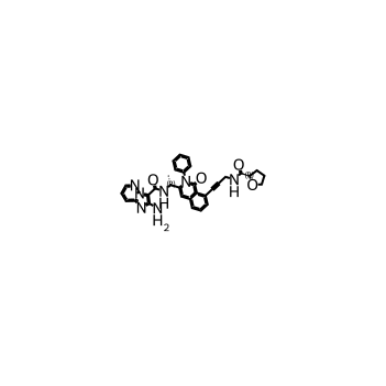 C[C@@H](NC(=O)c1c(N)nc2cccnn12)c1cc2cccc(C#CCNC(=O)[C@H]3CCCO3)c2c(=O)n1-c1ccccc1